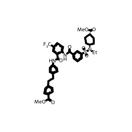 CCN([C@H]1CC[C@H](C(=O)OC)CC1)S(=O)(=O)c1cccc(C(=O)Nc2ccc(C(F)(F)F)cc2C(=O)Nc2ccc(CCc3ccc(C(=O)OC)cc3)cc2)c1